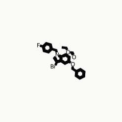 CCOC=O.Fc1ccc(Cn2cc(Br)c3cc(OCc4ccccc4)ccc32)cc1